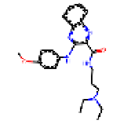 CCN(CC)CCCNC(=O)c1nc2ccccc2nc1Nc1ccc(OC)cc1